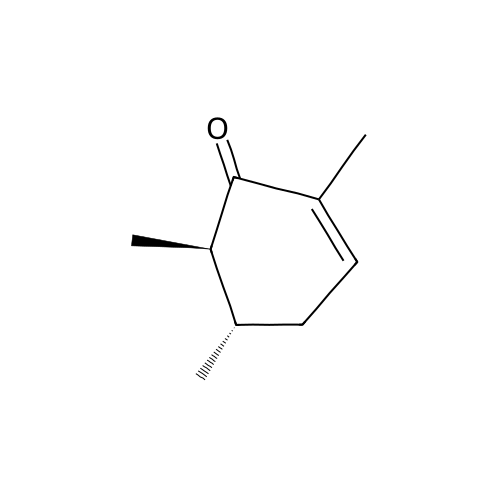 CC1=CC[C@H](C)[C@@H](C)C1=O